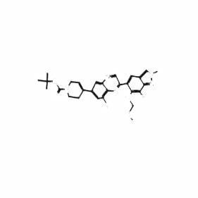 COCOc1c(-c2cnc3cc(C4=CCN(C(=O)OC(C)(C)C)CC4)cc(F)c3n2)cc2cn(C)nc2c1F